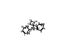 c1cnc(NC2(c3cccnc3)CCC2)nc1